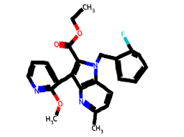 CCOC(=O)c1c(-c2cccnc2OC)c2nc(C)ccc2n1Cc1ccccc1F